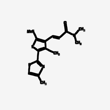 CSc1sc(-c2nc(C)cs2)c(C)c1C=CC(=O)N(C)C